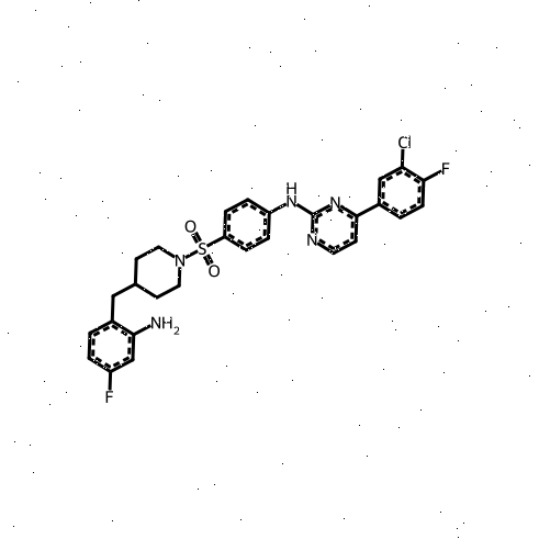 Nc1cc(F)ccc1CC1CCN(S(=O)(=O)c2ccc(Nc3nccc(-c4ccc(F)c(Cl)c4)n3)cc2)CC1